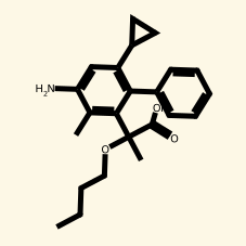 CCCCOC(C)(C(=O)O)c1c(C)c(N)cc(C2CC2)c1-c1ccccc1